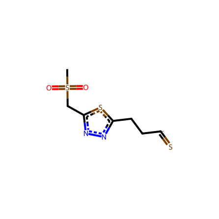 CS(=O)(=O)Cc1nnc(CC[C]=S)s1